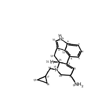 NC1C=C2c3cccc4[nH]cc(c34)C[C@H]2N(CC2CC2)C1